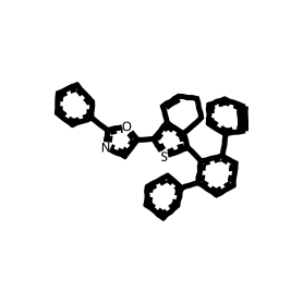 c1cccc(-c2cccc(-c3ccccc3)c2-c2sc(-c3cnc(-c4ccccc4)o3)c3c2CCC=C3)c#1